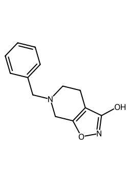 Oc1noc2c1CCN(Cc1ccccc1)C2